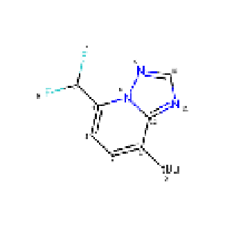 CC(C)(C)c1ccc(C(F)F)n2ncnc12